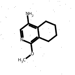 COc1ncc(N)c2c1CCCC2